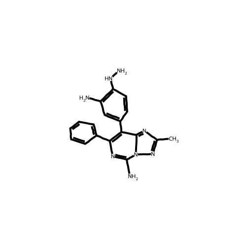 Cc1nc2c(-c3ccc(NN)c(N)c3)c(-c3ccccc3)nc(N)n2n1